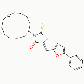 O=C1C(=Cc2ccc(-c3ccccc3)o2)SC(=S)N1C1CCCCCCCCCCC1